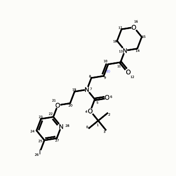 CC(C)(C)OC(=O)N(C/C=C/C(=O)N1CCOCC1)CCOc1ccc(I)cn1